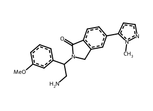 COc1cccc(C(CN)N2Cc3cc(-c4ccnn4C)ccc3C2=O)c1